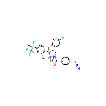 CC(F)(c1ccc2c(c1)CC[C@H]1N(C(=O)c3ccc(CC#N)cc3)CC[C@@]21Cc1ccc(F)cc1)C(F)(F)F